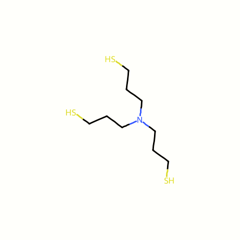 SCCCN(CCCS)CCCS